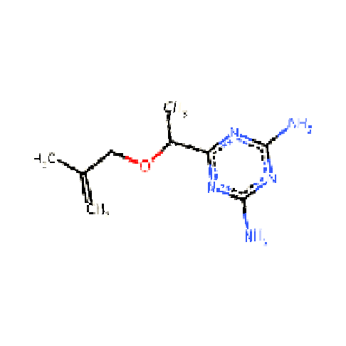 C=C(C)COC(C)c1nc(N)nc(N)n1